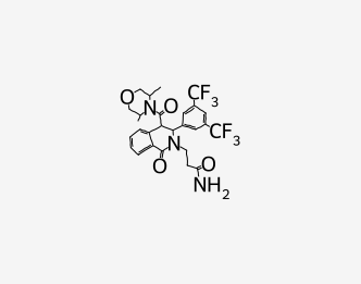 CC1COCC(C)N1C(=O)C1c2ccccc2C(=O)N(CCC(N)=O)C1c1cc(C(F)(F)F)cc(C(F)(F)F)c1